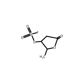 CC1OC(=O)CC1OS(=O)(=O)F